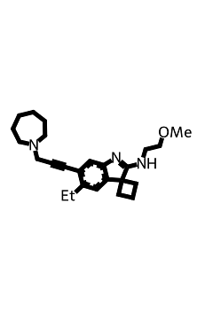 CCc1cc2c(cc1C#CCN1CCCCCC1)N=C(NCCOC)C21CCC1